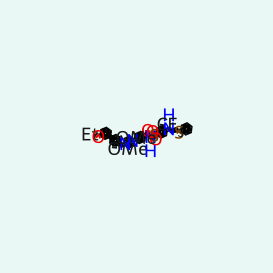 CCOc1cccc(-c2cc(OC)c(CN3CCN(c4ccc(C(=O)NS(=O)(=O)c5ccc(NCCSc6ccccc6)c(C(F)(F)F)c5)cc4)CC3)c(OC)c2)c1